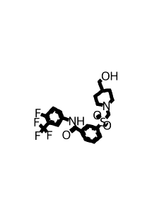 O=C(Nc1ccc(F)c(C(F)(F)F)c1)c1cccc(S(=O)(=O)CN2CCC(CO)CC2)c1